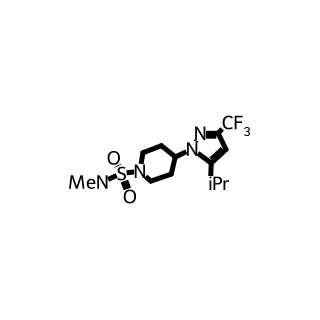 CNS(=O)(=O)N1CCC(n2nc(C(F)(F)F)cc2C(C)C)CC1